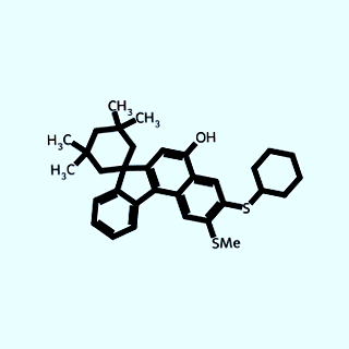 CSc1cc2c3c(cc(O)c2cc1SC1CCCCC1)C1(CC(C)(C)CC(C)(C)C1)c1ccccc1-3